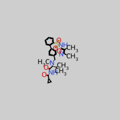 Cc1noc(NS(=O)(=O)c2ccccc2-c2ccc(CN(C)[C@H](C(=O)NC(=O)C3CC3)C(C)C)cc2)c1C